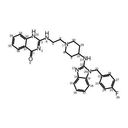 O=c1nc(NCCN2CCC(Nc3nc4ccccc4n3Cc3ccc(F)cc3)CC2)[nH]c2ccccc12